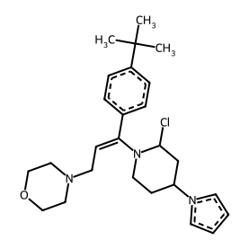 CC(C)(C)c1ccc(C(=CCN2CCOCC2)N2CCC(n3cccc3)CC2Cl)cc1